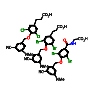 CNc1cc(C#N)cc(COc2c(Br)cc(C(=O)NCC(=O)O)cc2Br)c1.CNc1cc(C#N)cc(COc2c(Br)cc(CCC(=O)O)cc2Br)c1.CNc1cc(C#N)cc(COc2c(Cl)cc(CCC(=O)O)cc2Cl)c1